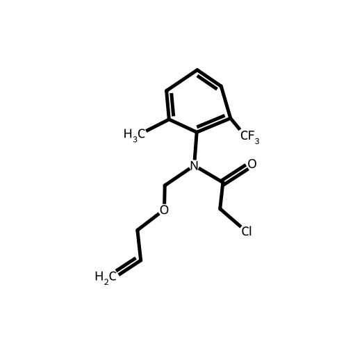 C=CCOCN(C(=O)CCl)c1c(C)cccc1C(F)(F)F